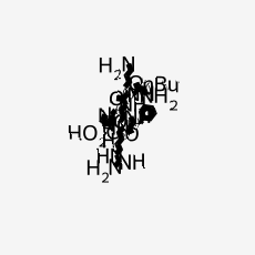 CCCC[C@H](N)C(=O)N[C@@H](CCCCN)C(=O)N[C@@H](Cc1c[nH]cn1)C(=O)N[C@H](Cc1ccccc1)C(=O)N[C@@H](CCCNC(=N)N)C(=O)O